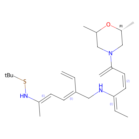 C=C/C(=C\C=C(/C)NSC(C)(C)C)CNC(/C=C\C(=C)N1CC(C)O[C@H](C)C1)=C/C